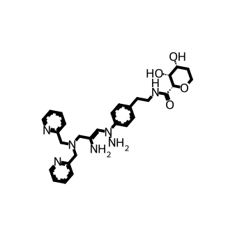 N/C(=C\N(N)c1ccc(CCNC(=O)[C@H]2OCC[C@@H](O)[C@H]2O)cc1)CN(Cc1ccccn1)Cc1ccccn1